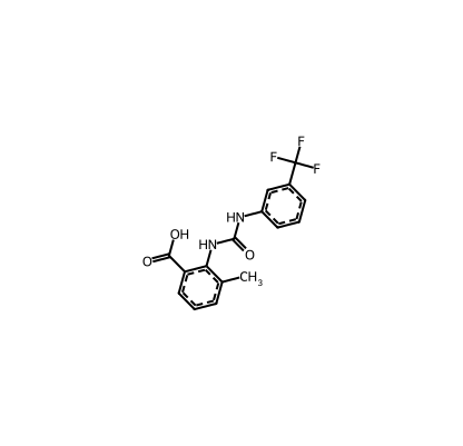 Cc1cccc(C(=O)O)c1NC(=O)Nc1cccc(C(F)(F)F)c1